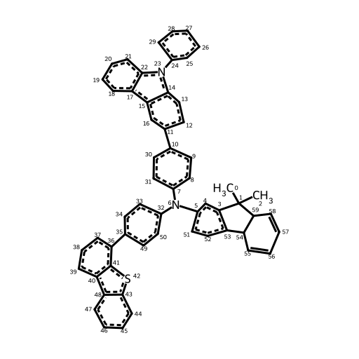 CC1(C)c2cc(N(c3ccc(-c4ccc5c(c4)c4ccccc4n5-c4ccccc4)cc3)c3ccc(-c4cccc5c4sc4ccccc45)cc3)ccc2C2C=CC=CC21